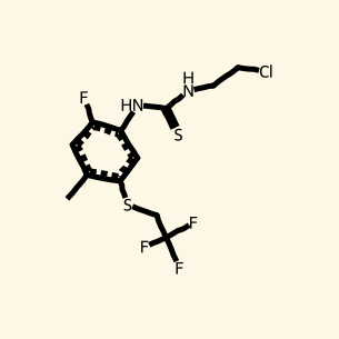 Cc1cc(F)c(NC(=S)NCCCl)cc1SCC(F)(F)F